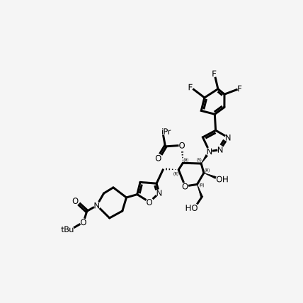 CC(C)C(=O)O[C@@H]1[C@@H](n2cc(-c3cc(F)c(F)c(F)c3)nn2)[C@@H](O)[C@@H](CO)O[C@@H]1Cc1cc(C2CCN(C(=O)OC(C)(C)C)CC2)on1